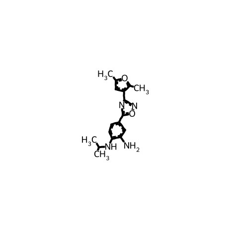 Cc1cc(-c2noc(-c3ccc(NC(C)C)c(N)c3)n2)c(C)o1